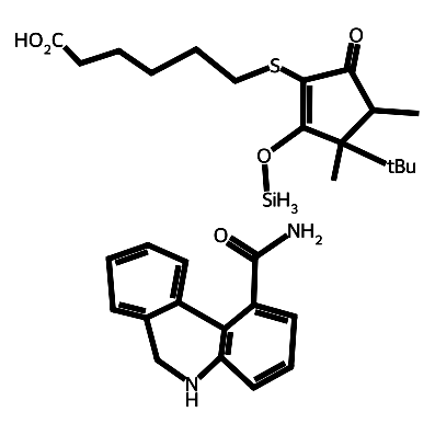 CC1C(=O)C(SCCCCCC(=O)O)=C(O[SiH3])C1(C)C(C)(C)C.NC(=O)c1cccc2c1-c1ccccc1CN2